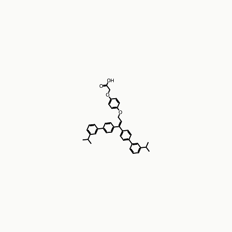 CC(C)c1cccc(-c2ccc(C(=CCOc3ccc(OCC(=O)O)cc3)c3ccc(-c4cccc(C(C)C)c4)cc3)cc2)c1